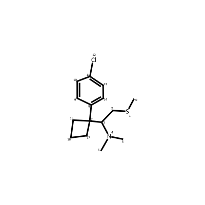 CSCC(N(C)C)C1(c2ccc(Cl)cc2)CCC1